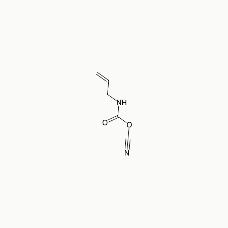 C=CCNC(=O)OC#N